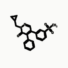 CS(=O)(=O)c1cccc(-c2cnn(CC3CC3)c(=O)c2-c2ccccc2)c1